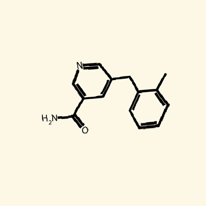 Cc1ccccc1Cc1cncc(C(N)=O)c1